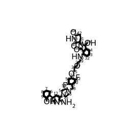 Nc1nnc(-c2ccccc2O)cc1N1CCN(Cc2cc(F)c(OCCOCCNc3cccc4c3C(=O)N(C3CCC(=O)NC3=O)C4O)cc2F)CC1